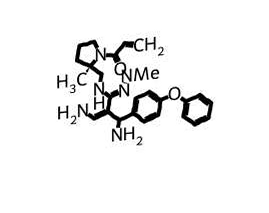 C=CC(=O)N1CCC[C@]1(C)CNC(=NNC)/C(=C\N)C(N)c1ccc(Oc2ccccc2)cc1